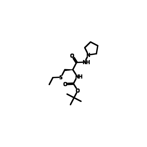 CCSC[C@H](NC(=O)OC(C)(C)C)C(=O)NN1CCCC1